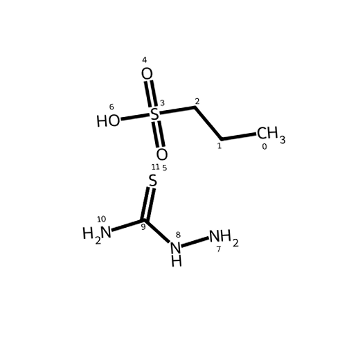 CCCS(=O)(=O)O.NNC(N)=S